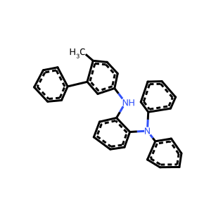 Cc1ccc(Nc2ccccc2N(c2ccccc2)c2ccccc2)cc1-c1ccccc1